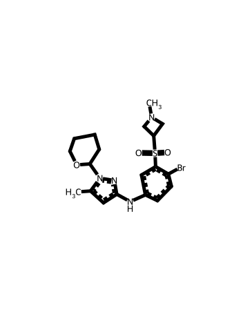 Cc1cc(Nc2ccc(Br)c(S(=O)(=O)C3CN(C)C3)c2)nn1C1CCCCO1